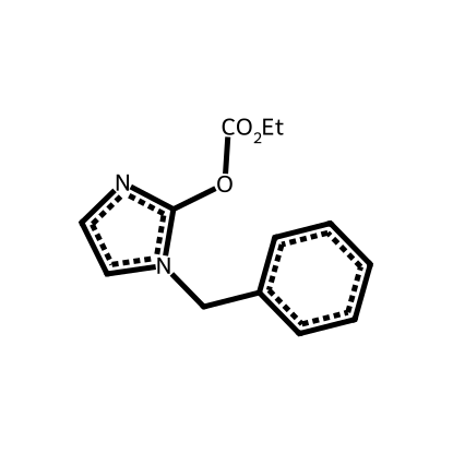 CCOC(=O)Oc1nccn1Cc1ccccc1